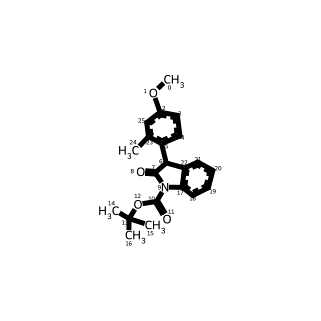 COc1ccc(C2C(=O)N(C(=O)OC(C)(C)C)c3ccccc32)c(C)c1